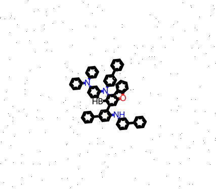 B1c2ccc(N(c3ccccc3)c3ccccc3)cc2N(c2ccc(-c3ccccc3)cc2)c2c1c(-c1cc(-c3ccccc3)ccc1Nc1cccc(-c3ccccc3)c1)cc1oc3ccccc3c21